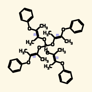 C/C(Oc1ccccc1)=C(/C)O[PH](O/C(C)=C(\C)Oc1ccccc1)(O/C(C)=C(\C)Oc1ccccc1)O/C(C)=C(\C)Oc1ccccc1